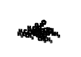 CC(=O)O[C@@H]1[C@@]2(OC(C)=O)C(OP(=O)(N[C@@H](C)C(=O)OC3CC4(CCCC4)C3)Oc3ccc(C(C)(C)C)cc3)[C@H]2O[C@@]1(C)c1ccc2c(N)ncnn12